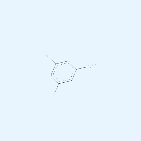 CNc1cc(Br)cc(Br)c1